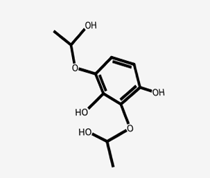 CC(O)Oc1ccc(O)c(OC(C)O)c1O